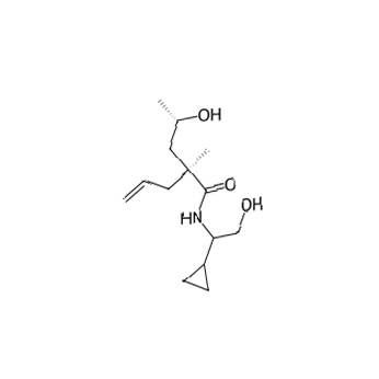 C=CC[C@@](C)(C[C@H](C)O)C(=O)NC(CO)C1CC1